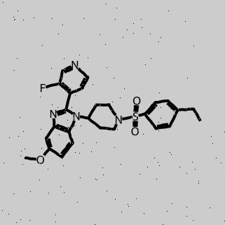 CCc1ccc(S(=O)(=O)N2CCC(n3c(-c4ccncc4F)nc4cc(OC)ccc43)CC2)cc1